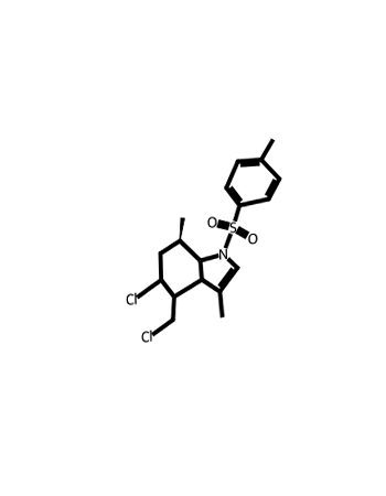 CC1=CN(S(=O)(=O)c2ccc(C)cc2)C2C1C(CCl)C(Cl)C[C@H]2C